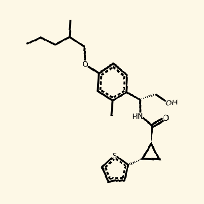 CCCC(C)COc1ccc([C@H](CO)NC(=O)[C@H]2C[C@@H]2c2cccs2)c(C)c1